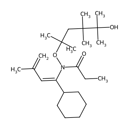 C=C(C)/C=C(/C1CCCCC1)N(OC(C)(C)CC(C)(C)C(C)(C)O)C(=O)CC